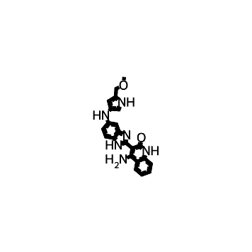 COCc1cc(Nc2ccc3[nH]c(-c4c(N)c5ccccc5[nH]c4=O)nc3c2)c[nH]1